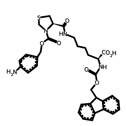 Nc1ccc(COC(=O)N2CSC[C@H]2C(=O)NCCCC[C@H](NC(=O)OCC2c3ccccc3-c3ccccc32)C(=O)O)cc1